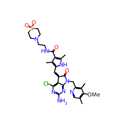 COc1c(C)cnc(CN2C(=O)/C(=C\c3[nH]c(C)c(C(=O)NCCN4CCS(=O)(=O)CC4)c3C)c3c(Cl)nc(N)nc32)c1C